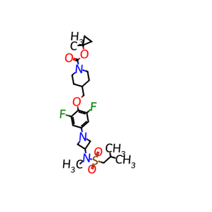 CC(C)CS(=O)(=O)N(C)C1CN(c2cc(F)c(OCC3CCN(C(=O)OC4(C)CC4)CC3)c(F)c2)C1